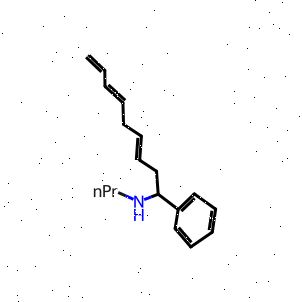 C=CC=CCC=CCC(NCCC)c1ccccc1